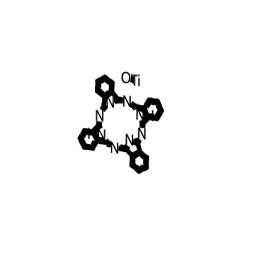 [O]=[Ti].c1ccc2c(c1)-c1nc-2nc2[nH]c(nc3nc(nc4[nH]c(n1)c1ccccc41)-c1ccccc1-3)c1ccccc21